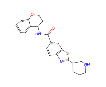 O=C(NC1CCOc2ccccc21)c1ccc2nc(C3CCCNC3)sc2c1